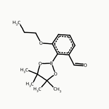 CCCOc1cccc(C=O)c1B1OC(C)(C)C(C)(C)O1